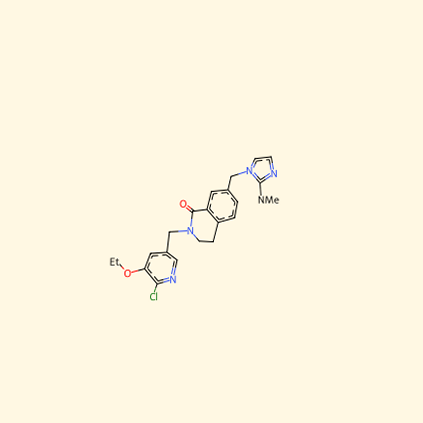 CCOc1cc(CN2CCc3ccc(Cn4ccnc4NC)cc3C2=O)cnc1Cl